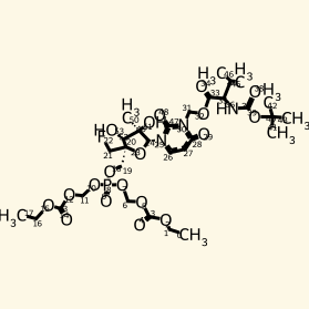 CCOC(=O)OCOP(=O)(OCOC(=O)OCC)OC[C@@]1(CF)O[C@@H](n2ccc(=O)n(COC(=O)C(NC(=O)OC(C)(C)C)C(C)C)c2=O)[C@](C)(O)[C@@H]1O